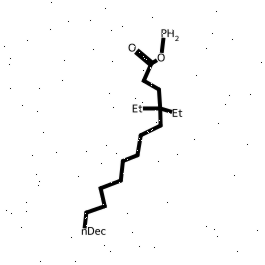 CCCCCCCCCCCCCCCCCCC(CC)(CC)CCC(=O)OP